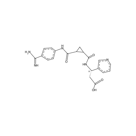 N=C(N)c1ccc(NC(=O)C2CC2C(=O)N[C@@H](CC(=O)O)c2cccnc2)cc1